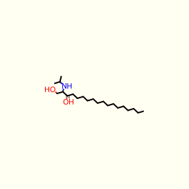 CCCCCCCCCCCCCCC[C@H](O)C(CO)NC(C)C